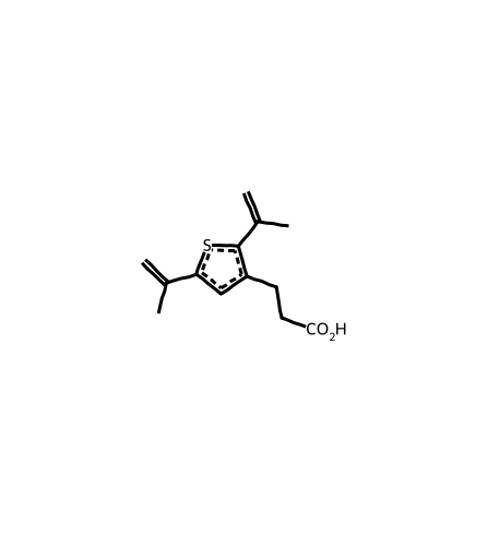 C=C(C)c1cc(CCC(=O)O)c(C(=C)C)s1